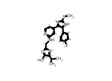 CSc1nc(-c2ccnc(NCc3nc(C(C)C)c(O)o3)c2)c(-c2ccc(F)cc2)[nH]1